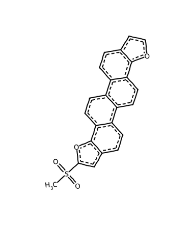 CS(=O)(=O)c1cc2ccc3c4ccc5c(ccc6ccoc65)c4ccc3c2o1